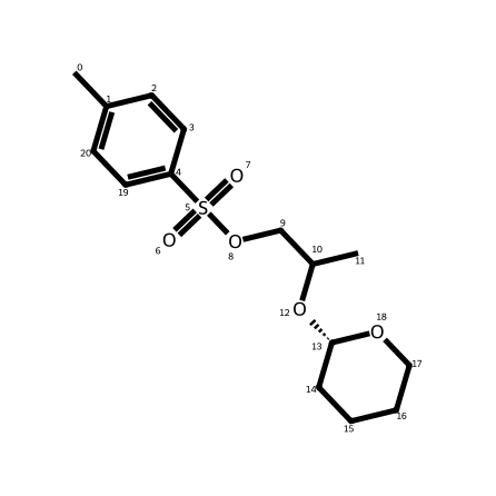 Cc1ccc(S(=O)(=O)OCC(C)O[C@H]2CCCCO2)cc1